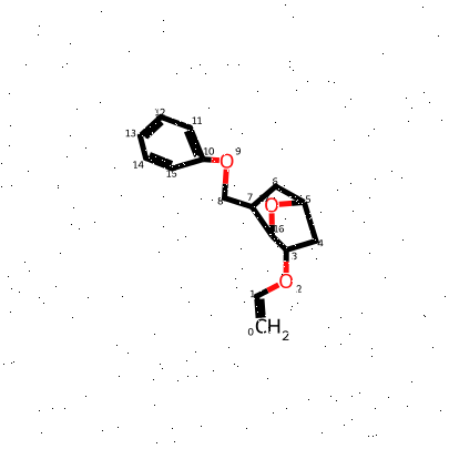 C=COC1CC2CC(COc3ccccc3)C1O2